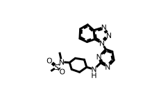 CN(C1CCC(Nc2nccc(-n3nnc4ccccc43)n2)CC1)S(C)(=O)=O